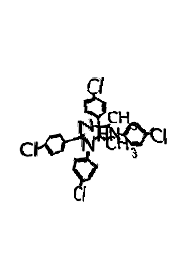 CC(Nc1ccc(Cl)cc1)C1(c2ccc(Cl)cc2)N=C(c2ccc(Cl)cc2)N(c2ccc(Cl)cc2)C1C